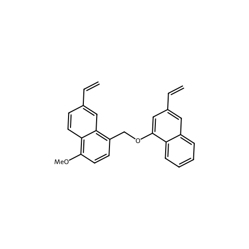 C=Cc1cc(OCc2ccc(OC)c3ccc(C=C)cc23)c2ccccc2c1